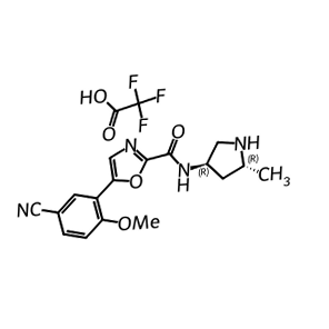 COc1ccc(C#N)cc1-c1cnc(C(=O)N[C@H]2CN[C@H](C)C2)o1.O=C(O)C(F)(F)F